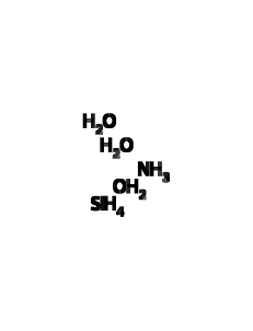 N.O.O.O.[SiH4]